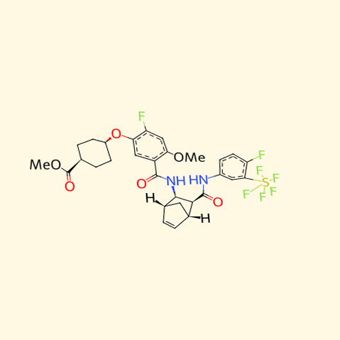 COc1cc(F)c(O[C@H]2CC[C@@H](C(=O)OC)CC2)cc1C(=O)N[C@H]1[C@@H](C(=O)Nc2ccc(F)c(S(F)(F)(F)(F)F)c2)[C@@H]2C=C[C@H]1C2